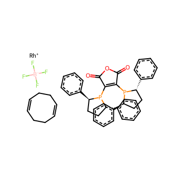 C1=C\CC/C=C\CC/1.F[B-](F)(F)F.O=C1OC(=O)C(P2[C@H](c3ccccc3)CC[C@H]2c2ccccc2)=C1P1[C@H](c2ccccc2)CC[C@H]1c1ccccc1.[Rh+]